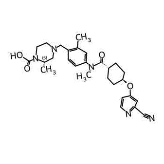 Cc1cc(N(C)C(=O)[C@H]2CC[C@H](Oc3ccnc(C#N)c3)CC2)ccc1CN1CCN(C(=O)O)[C@@H](C)C1